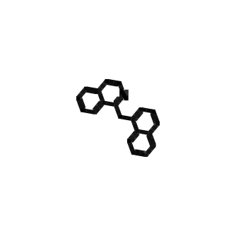 c1ccc2c(Cc3nccc4ccccc34)cccc2c1